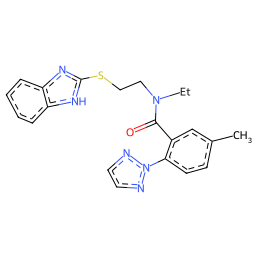 CCN(CCSc1nc2ccccc2[nH]1)C(=O)c1cc(C)ccc1-n1nccn1